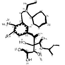 CCC(C)OC(=O)C(O)(C(=O)c1cc(Br)c(N)c(CN(CC)C2CCCCC2)c1)C(O)C(=O)O